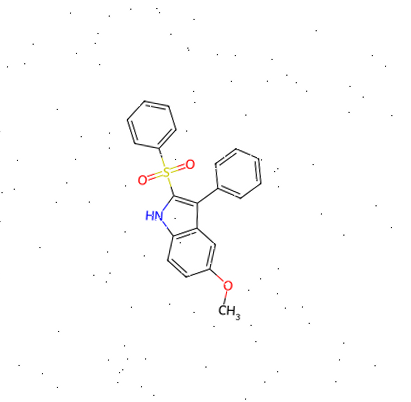 COc1ccc2[nH]c(S(=O)(=O)c3ccccc3)c(-c3ccccc3)c2c1